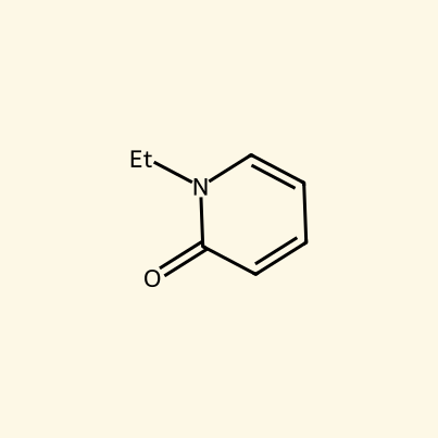 CCn1ccccc1=O